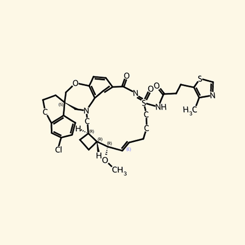 CO[C@H]1/C=C/CCCS(=O)(NC(=O)CCc2scnc2C)=NC(=O)c2ccc3c(c2)N(C[C@@H]2CC[C@H]21)C[C@@]1(CCCc2cc(Cl)ccc21)CO3